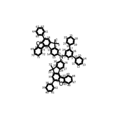 CC1(C)c2cc(N(c3cc(-c4ccccc4)cc(-c4ccccc4)c3)c3ccc4c(c3)C(C)(C)c3cc(-c5ccccc5)c5oc6ccccc6c5c3-4)ccc2-c2c1cc(-c1ccccc1)c1oc3ccccc3c21